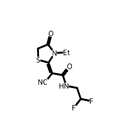 CCN1C(=O)CSC1=C(C#N)C(=O)NCC(F)F